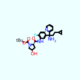 CC(C)(C)OC(=O)N1C[C@H](O)C[C@@H]1C(=O)Nc1cc(C(N)(CCC2CC2)c2ccccn2)ccc1F